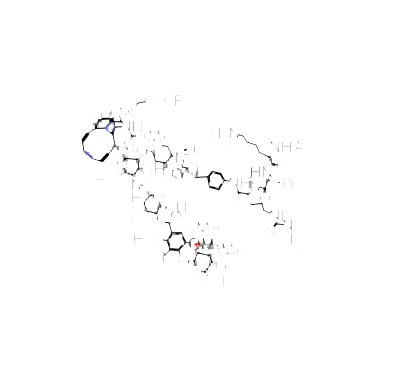 CCOC(=O)CSSC/C=C1\C2=C(NC(=O)OC)C(=O)C[C@@]1(O)C#C/C=C\C#C[C@@H]2O[C@@H]1O[C@H](C)[C@@H](NO[C@H]2C[C@H](O)[C@H](SC(=O)c3c(C)c(I)c(O[C@@H]4O[C@@H](C)[C@H](O)[C@@H](OC)[C@H]4O)c(OC)c3OC)[C@@H](C)O2)[C@H](O)[C@H]1O[C@H]1C[C@H](OC)[C@@H](N(CC)C(=O)OCc2ccc(NC(=O)[C@H](CCCNC(N)=O)NC(=O)[C@@H](NC(=O)[C@H](CCCCN)NC(C)=O)C(C)C)cc2)CO1